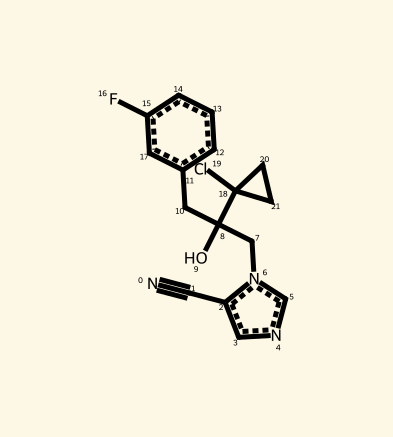 N#Cc1cncn1CC(O)(Cc1cccc(F)c1)C1(Cl)CC1